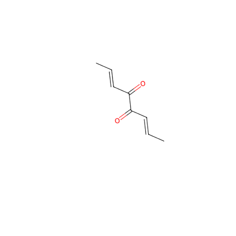 CC=CC(=O)C(=O)/C=C/C